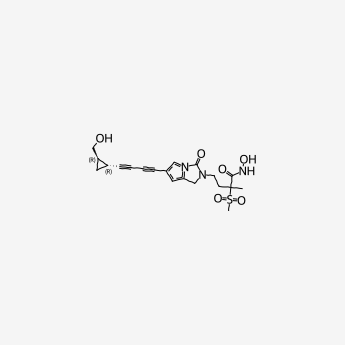 CC(CCN1Cc2cc(C#CC#C[C@@H]3C[C@H]3CO)cn2C1=O)(C(=O)NO)S(C)(=O)=O